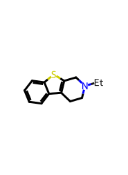 CCN1CCc2c(sc3ccccc23)C1